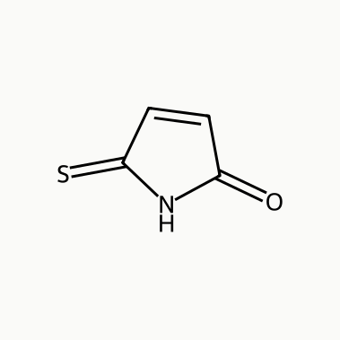 O=C1C=CC(=S)N1